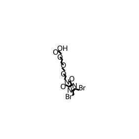 O=C(O)COCCOCCOCCN1C(=O)c2nc(CBr)c(CBr)nc2C1=O